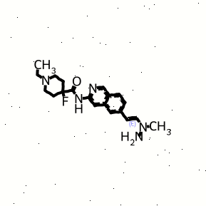 CCN1CCC(F)(C(=O)Nc2cc3cc(/C=C/N(C)N)ccc3cn2)CC1